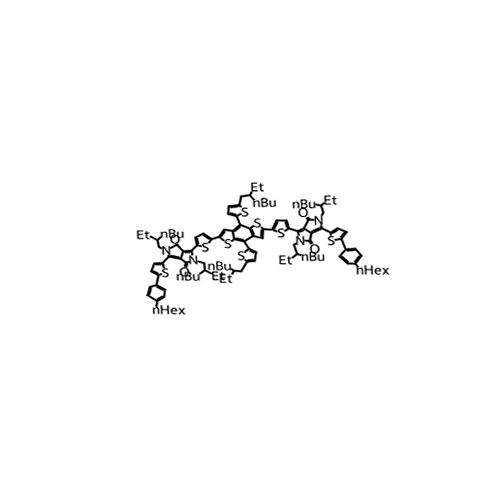 CCCCCCc1ccc(-c2ccc(C3=C4C(=O)N(CC(CC)CCCC)C(c5ccc(-c6cc7c(-c8ccc(CC(CC)CCCC)s8)c8sc(-c9ccc(C%10=C%11C(=O)N(CC(CC)CCCC)C(c%12ccc(-c%13ccc(CCCCCC)cc%13)s%12)=C%11C(=O)N%10CC(CC)CCCC)s9)cc8c(-c8ccc(CC(CC)CCCC)s8)c7s6)s5)=C4C(=O)N3CC(CC)CCCC)s2)cc1